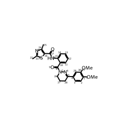 COc1ccc(C2=NN(C(=O)c3ccccc3NC(=O)c3sc(C)nc3C)CCC2)cc1OC